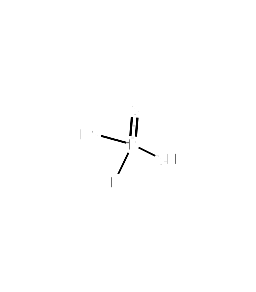 FP(=S)(S)S